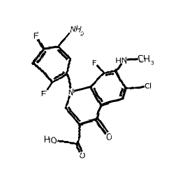 CNc1c(Cl)cc2c(=O)c(C(=O)O)cn(-c3cc(N)c(F)cc3F)c2c1F